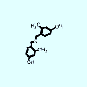 Cc1cc(O)ccc1CSCc1ccc(O)cc1C